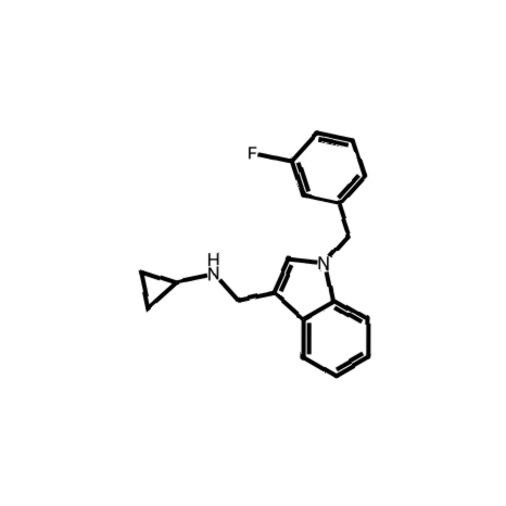 Fc1cccc(Cn2cc(CNC3CC3)c3ccccc32)c1